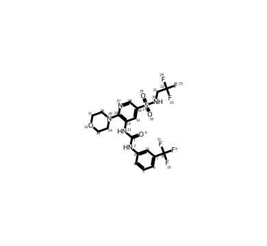 O=C(Nc1cccc(C(F)(F)F)c1)Nc1cc(S(=O)(=O)NCC(F)(F)F)cnc1N1CCOCC1